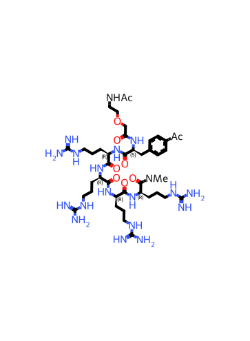 CNC(=O)[C@@H](CCCNC(=N)N)NC(=O)[C@@H](CCCNC(=N)N)NC(=O)[C@@H](CCCNC(=N)N)NC(=O)[C@@H](CCCNC(=N)N)NC(=O)[C@H](Cc1ccc(C(C)=O)cc1)NC(=O)COCCNC(C)=O